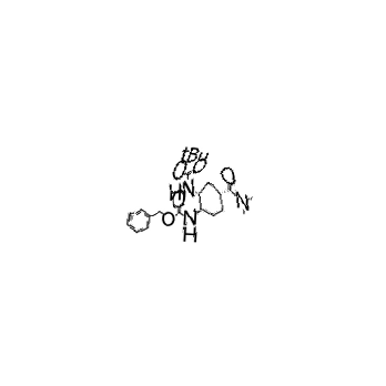 CN(C)C(=O)[C@@H]1CC[C@@H](NC(=O)OCc2ccccc2)[C@H](NC(=O)OC(C)(C)C)C1